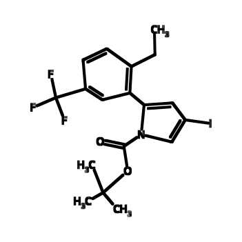 CCc1ccc(C(F)(F)F)cc1-c1cc(I)cn1C(=O)OC(C)(C)C